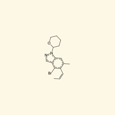 C/C=C\c1c(C)cc2c(cnn2C2CCCCO2)c1Br